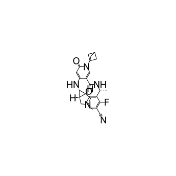 C[C@@H](NC(=O)c1cn(C23CC(C2)C3)c(=O)cc1N[C@@H]1[C@@H]2CN(C)C[C@@H]21)c1cccc(C#N)c1F